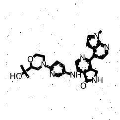 Cn1ccc2c(-c3ncc(Nc4ccc(N5CCOC(C(C)(C)O)C5)nc4)c4c3CNC4=O)ccnc21